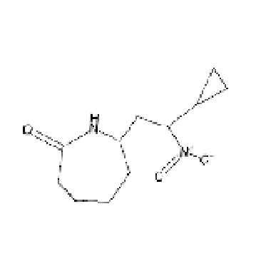 O=C1CCCCC(CC(C2CC2)[N+](=O)[O-])N1